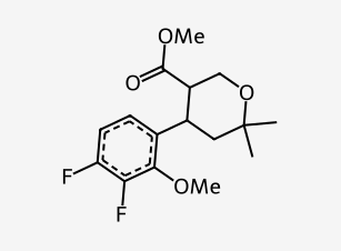 COC(=O)C1COC(C)(C)CC1c1ccc(F)c(F)c1OC